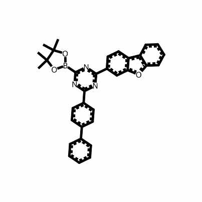 CC1(C)OB(c2nc(-c3ccc(-c4ccccc4)cc3)nc(-c3ccc4c(c3)oc3ccccc34)n2)OC1(C)C